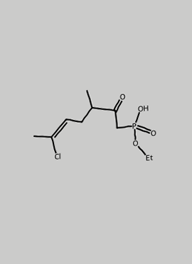 CCOP(=O)(O)CC(=O)C(C)CC=C(C)Cl